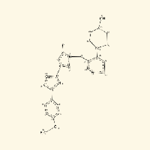 Cc1cc(-c2nc(-c3ccc(OC(F)(F)F)cc3)no2)nn1Cc1c[c]ccc1N1CCC(O)CC1